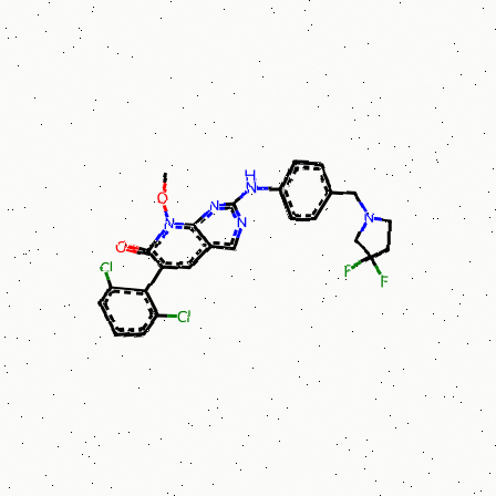 COn1c(=O)c(-c2c(Cl)cccc2Cl)cc2cnc(Nc3ccc(CN4CCC(F)(F)C4)cc3)nc21